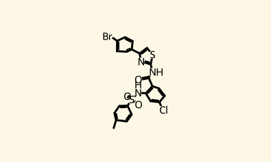 Cc1ccc(S(=O)(=O)Nc2cc(Cl)ccc2C(=O)Nc2nc(-c3ccc(Br)cc3)cs2)cc1